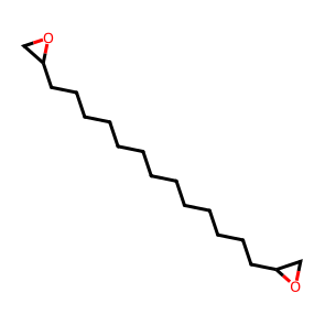 C(CCCCCCC1CO1)CCCCCCC1CO1